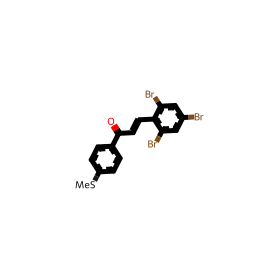 CSc1ccc(C(=O)/C=C/c2c(Br)cc(Br)cc2Br)cc1